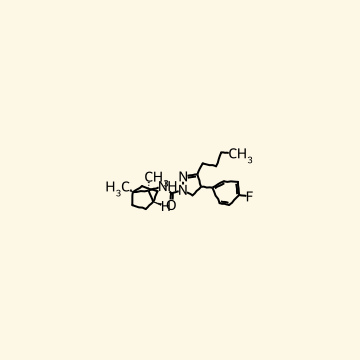 CCCCC1=NN(C(=O)N[C@@]2(C)[C@H]3CC[C@]2(C)CC3)CC1c1ccc(F)cc1